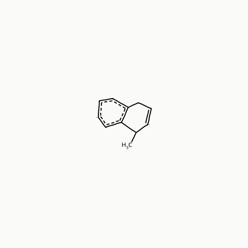 CC1[C]=CCc2cc[c]cc21